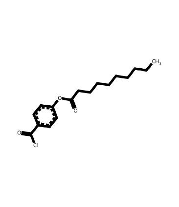 CCCCCCCCCC(=O)Oc1ccc(C(=O)Cl)cc1